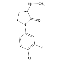 CNC1CCN(c2ccc(Cl)c(F)c2)C1=O